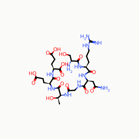 C[C@@H](O)[C@H](NC(=O)CNC(=O)[C@H](CC(N)=O)NC(=O)[C@H](CCCNC(=N)N)NC(=O)[C@@H](N)CO)C(=O)N[C@@H](CCC(=O)O)C(=O)N[C@@H](CCC(=O)O)C(=O)O